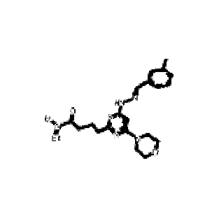 CCN(CC)C(=O)CCCc1nc(NN=Cc2cccc(C)c2)cc(N2CCOCC2)n1